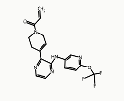 C=CC(=O)N1CC=C(c2nccnc2Nc2ccc(OC(F)(F)F)nc2)CC1